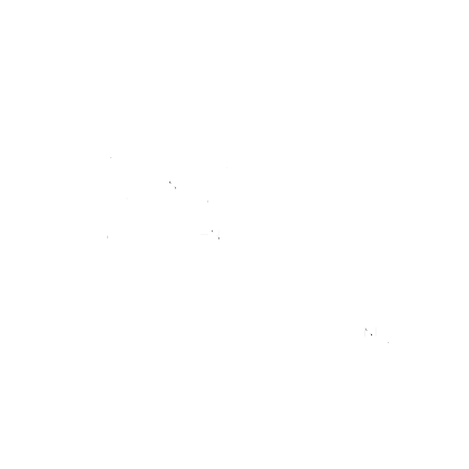 CC1(C)CN(C(=O)Nc2ccc(CN)cc2)C1=O